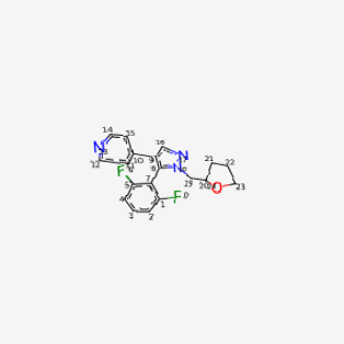 Fc1cccc(F)c1-c1c(-c2ccncc2)cnn1CC1CCCO1